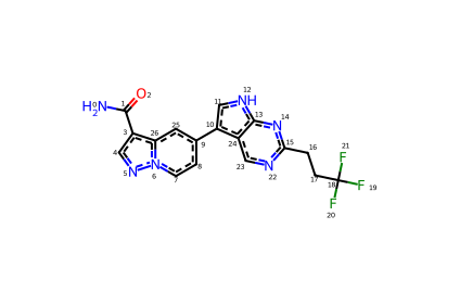 NC(=O)c1cnn2ccc(-c3c[nH]c4nc(CCC(F)(F)F)ncc34)cc12